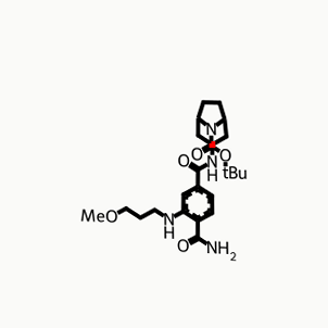 COCCCNc1cc(C(=O)NC2CC3CCC(C2)N3C(=O)OC(C)(C)C)ccc1C(N)=O